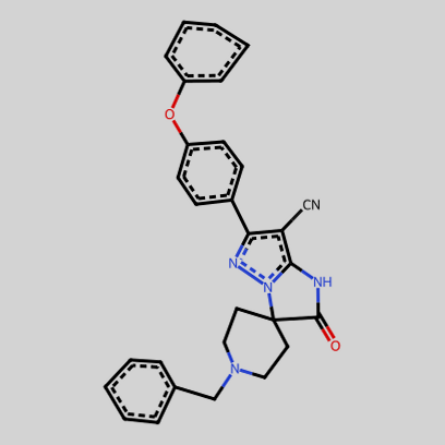 N#Cc1c(-c2ccc(Oc3ccccc3)cc2)nn2c1NC(=O)C21CCN(Cc2ccccc2)CC1